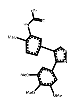 CCCC(=O)Nc1cc(-c2csnc2-c2cc(OC)c(OC)c(OC)c2)ccc1OC